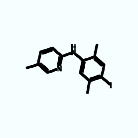 Cc1ccc(Nc2cc(C)c(I)cc2C)nc1